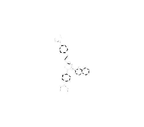 CCN(CC)c1ccc(C=CC2=NN(c3ccc4ccccc4n3)C(c3ccc(N(CC)CC)cc3)C2)cc1